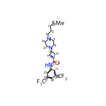 CSCCCN1CCN(C2CN(C(=O)Nc3cc(C(F)(F)F)cc(C(F)(F)F)c3)C2)CC1